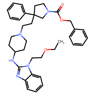 CCOCCn1c(NC2CCN(CCC3(c4ccccc4)CCN(C(=O)OCc4ccccc4)C3)CC2)nc2ccccc21